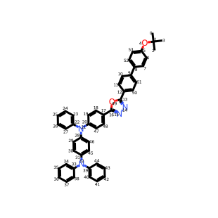 CC(C)(C)Oc1ccc(-c2ccc(-c3nnc(-c4ccc(N(c5ccccc5)c5ccc(N(c6ccccc6)c6ccccc6)cc5)cc4)o3)cc2)cc1